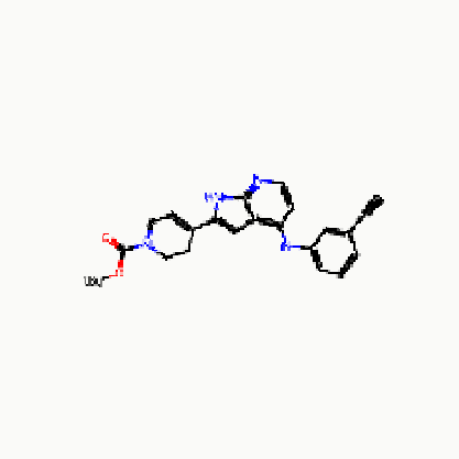 C#Cc1cccc(Nc2ccnc3[nH]c(C4=CCN(C(=O)OC(C)(C)C)CC4)cc23)c1